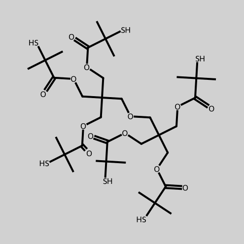 CC(C)(S)C(=O)OCC(COCC(COC(=O)C(C)(C)S)(COC(=O)C(C)(C)S)COC(=O)C(C)(C)S)(COC(=O)C(C)(C)S)COC(=O)C(C)(C)S